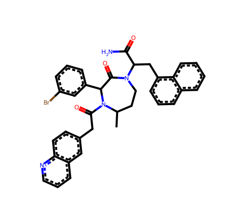 CC1CCN(C(Cc2cccc3ccccc23)C(N)=O)C(=O)C(c2cccc(Br)c2)N1C(=O)Cc1ccc2ncccc2c1